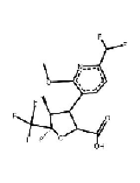 COc1nc(C(F)F)ccc1C1C(C(=O)O)O[C@@](C)(C(F)(F)F)[C@H]1C